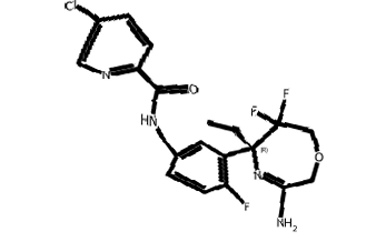 CC[C@]1(c2cc(NC(=O)c3ccc(Cl)cn3)ccc2F)N=C(N)COCC1(F)F